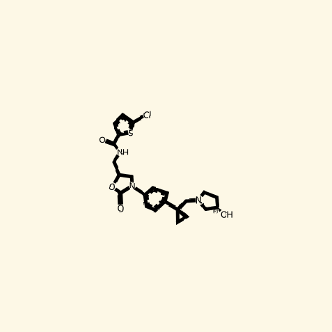 O=C(NCC1CN(c2ccc(C3(CN4CC[C@@H](O)C4)CC3)cc2)C(=O)O1)c1ccc(Cl)s1